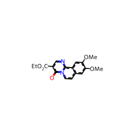 CCOC(=O)c1cnc2c3cc(OC)c(OC)cc3ccn2c1=O